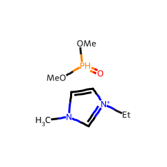 CC[n+]1ccn(C)c1.CO[PH](=O)OC